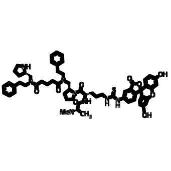 CN[C@@H](C)C(=O)N[C@@H](CCCNC(=S)Nc1ccc2c(c1)C(=O)OC21c2ccc(O)cc2Oc2cc(O)ccc21)C(=O)N1CCC[C@H]1CN(CCc1ccccc1)C(=O)CCCC(=O)N(CCc1ccccc1)C[C@@H]1CCCN1